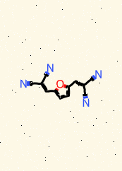 N#CC(C#N)=Cc1ccc(C=C(C#N)C#N)o1